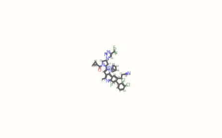 Cc1nc2c(F)c(-c3cccc(Cl)c3Cl)c(CCC#N)cc2c2c1cc(C1CC(n3cc(C(F)F)nn3)CN1C(=O)C1CC1)n2C1C2CNC1C2